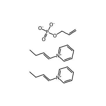 C=CCOP(=O)([O-])[O-].CCC=C[n+]1ccccc1.CCC=C[n+]1ccccc1